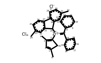 CC1=CC(C)=[C]([Zr+2](=[C](c2ccccc2)c2ccccc2)[CH]2c3cc(C)ccc3-c3ccc(C)cc32)C1.[Cl-].[Cl-]